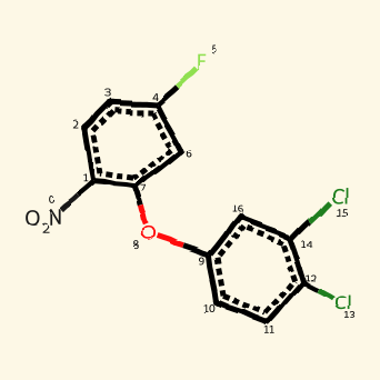 O=[N+]([O-])c1ccc(F)cc1Oc1ccc(Cl)c(Cl)c1